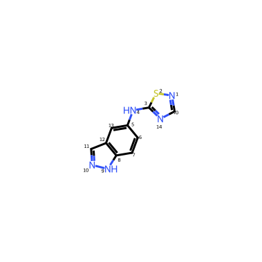 [c]1nsc(Nc2ccc3[nH]ncc3c2)n1